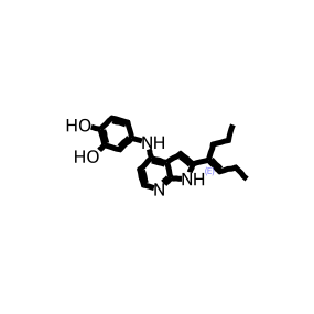 CC/C=C(\CCC)c1cc2c(Nc3ccc(O)c(O)c3)ccnc2[nH]1